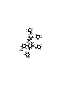 CCc1c(OCc2ccccc2)cc(OCc2ccccc2)c(-c2cccc(OC)c2)c1CC1O[C@@H](OCc2ccccc2)[C@H](OCc2ccccc2)O1